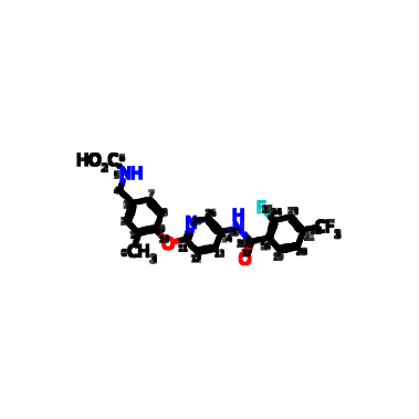 Cc1cc(CNC(=O)O)ccc1Oc1ccc(NC(=O)c2ccc(C(F)(F)F)cc2F)cn1